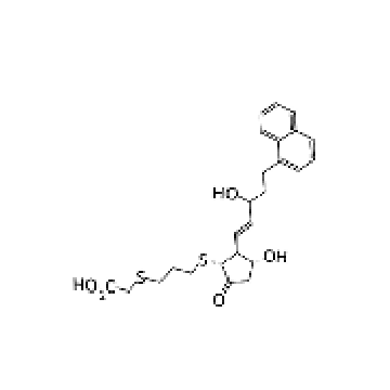 O=C(O)CSCCCS[C@H]1C(=O)C[C@@H](O)[C@@H]1/C=C/C(O)CCc1cccc2ccccc12